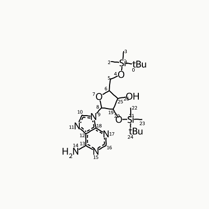 CC(C)(C)[Si](C)(C)OCC1OC(n2cnc3c(N)ncnc32)C(O[Si](C)(C)C(C)(C)C)C1O